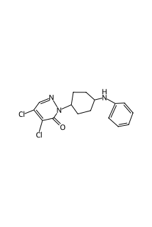 O=c1c(Cl)c(Cl)cnn1C1CCC(Nc2ccccc2)CC1